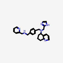 c1ccc(CNCc2ccc(CN(Cc3ncc[nH]3)C3CCCc4ncccc43)cc2)nc1